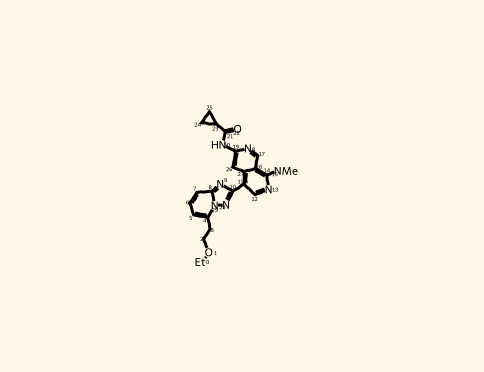 CCOCCc1cccc2nc(-c3cnc(NC)c4cnc(NC(=O)C5CC5)cc34)nn12